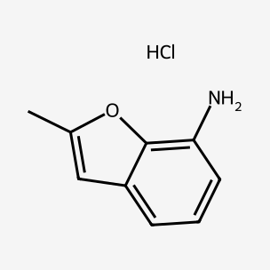 Cc1cc2cccc(N)c2o1.Cl